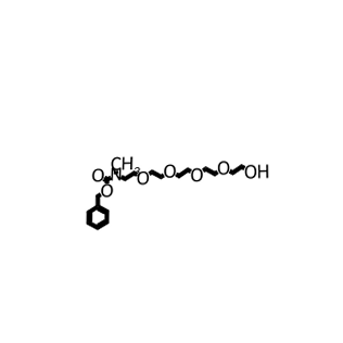 CN(CCOCCOCCOCCOCCO)C(=O)OCc1ccccc1